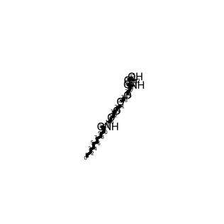 CCCCCCCCCCCC(=O)NCCOCCOCCOCCOCCC(=O)N[C@@H](C)C(=O)O